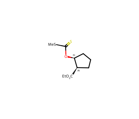 CCOC(=O)[C@@H]1CCC[C@@H]1OC(=S)SC